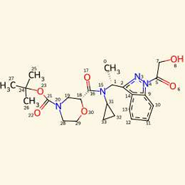 C[C@H](c1nn(C(=O)CO)c2ccccc12)N(C(=O)[C@H]1CN(C(=O)OC(C)(C)C)CCO1)C1CC1